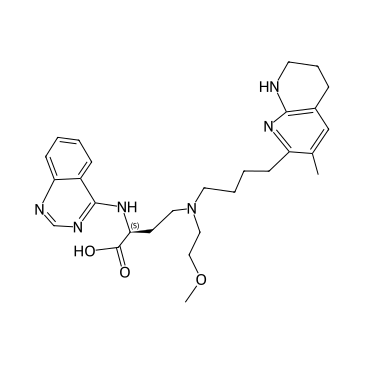 COCCN(CCCCc1nc2c(cc1C)CCCN2)CC[C@H](Nc1ncnc2ccccc12)C(=O)O